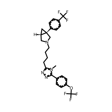 Cn1c(CCCCN2C[C@@H]3C[C@]3(c3ccc(C(F)(F)F)cc3)C2)nnc1-c1ccc(OC(F)(F)F)cc1